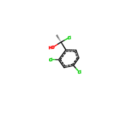 C[C@](O)(Cl)c1ccc(Cl)cc1Cl